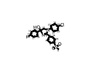 CS(=O)(=O)c1ccc(C2=NC(O)(c3ccc(F)cc3)CN2c2ccc(Cl)cc2)cc1